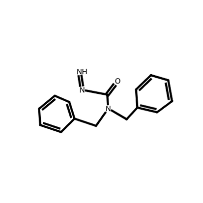 N=NC(=O)N(Cc1ccccc1)Cc1ccccc1